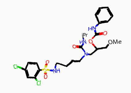 COCC(CN(CCCCNS(=O)(=O)c1ccc(Cl)cc1Cl)C(=O)NC(C)C)OC(=O)Nc1ccccc1